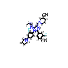 C\C=C/N=C1\C(=C\N2CCCC(C#N)C2)N=C(c2ccc(C#N)c(F)c2)N1c1ccc(N2CCCC2)cc1F